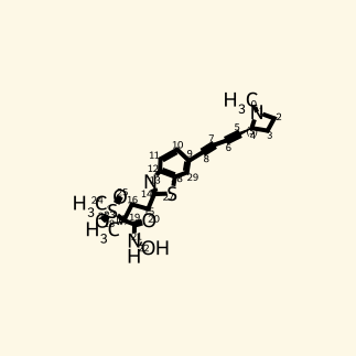 CN1CC[C@H]1C#CC#Cc1ccc2nc(CC[C@](C)(C(=O)NO)S(C)(=O)=O)sc2c1